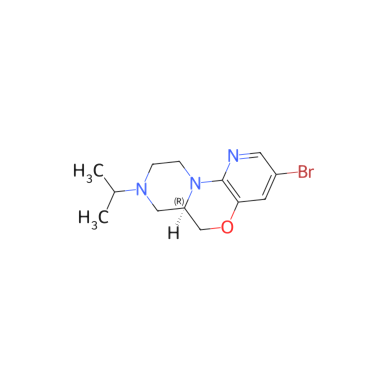 CC(C)N1CCN2c3ncc(Br)cc3OC[C@H]2C1